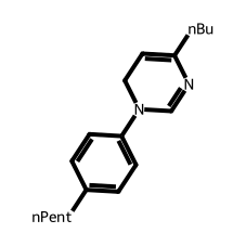 CCCCCc1ccc(N2C=NC(CCCC)=CC2)cc1